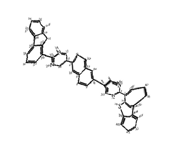 C1=C(c2ncc(-c3ccc4cc(-c5cnc(-c6cccc7c6Cc6ccccc6-7)nc5)ccc4c3)cn2)c2sc3ccccc3c2CC1